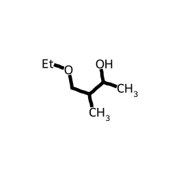 CCOCC(C)C(C)O